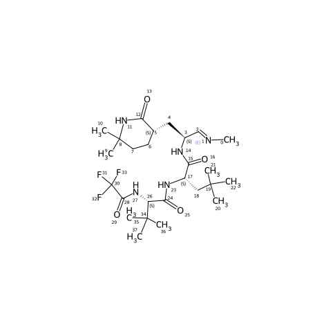 C/N=C/[C@H](C[C@@H]1CCC(C)(C)NC1=O)NC(=O)[C@H](CC(C)(C)C)NC(=O)[C@@H](NC(=O)C(F)(F)F)C(C)(C)C